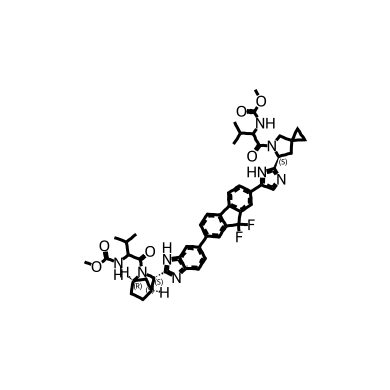 COC(=O)NC(C(=O)N1CC2(CC2)C[C@H]1c1ncc(-c2ccc3c(c2)C(F)(F)c2cc(-c4ccc5nc([C@@H]6[C@H]7CC[C@H](C7)N6C(=O)C(NC(=O)OC)C(C)C)[nH]c5c4)ccc2-3)[nH]1)C(C)C